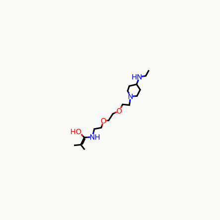 CCNC1CCN(CCOCCOCCNC(O)=C(C)C)CC1